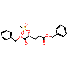 CS(=O)(=O)O[C@@H](CCC(=O)OCc1ccccc1)C(=O)OCc1ccccc1